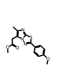 COC(=O)Cc1c(C)nc2sc(-c3ccc(OC)cc3)nn12